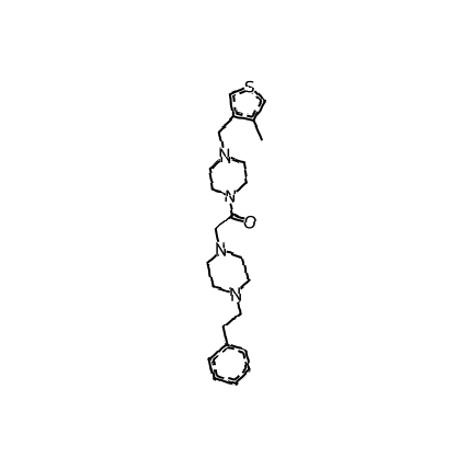 Cc1cscc1CN1CCN(C(=O)CN2CCN(CCc3ccccc3)CC2)CC1